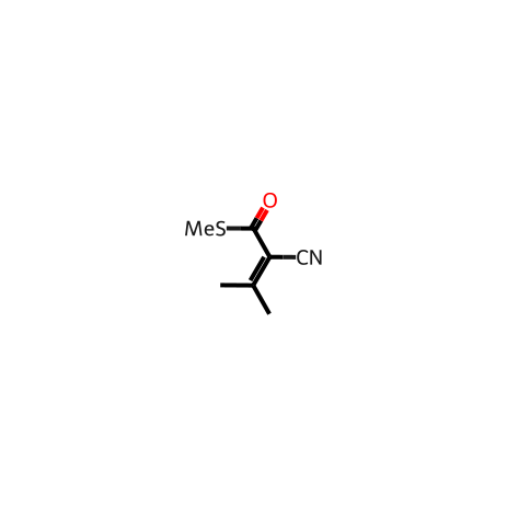 CSC(=O)C(C#N)=C(C)C